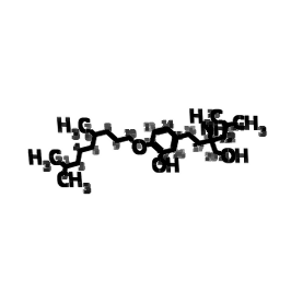 CC(C)CCCC(C)CCCOc1ccc(CCC(N)(CO)CC(C)C)cc1O